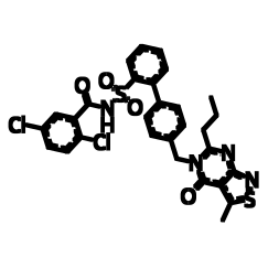 CCCc1nc2nsc(C)c2c(=O)n1Cc1ccc(-c2ccccc2S(=O)(=O)NC(=O)c2cc(Cl)ccc2Cl)cc1